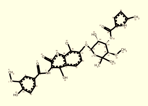 COc1cc(C(=O)Nc2c(O)c3ccc(O[C@@H]4OC(C)(C)[C@H](OC)[C@@H](OC(=O)c5ccc(C)[nH]5)[C@H]4O)c(Cl)c3oc2=O)ccc1O